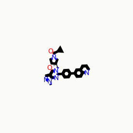 Cn1ncc2c(=O)n(C[C@@H]3CCN(C(=O)C4CC4)C3)c(-c3ccc(-c4ccc5ncccc5c4)cc3)nc21